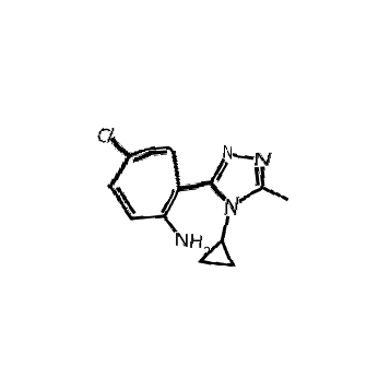 Cc1nnc(-c2cc(Cl)ccc2N)n1C1CC1